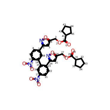 O=C(OCc1cc(-c2ccc([N+](=O)[O-])c(-c3cc([N+](=O)[O-])ccc3-c3cc(COC(=O)C4CCCC4)on3)c2)no1)C1CCCC1